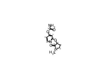 CN1CCC(Oc2cc(OC(N)=O)ccn2)C1=O